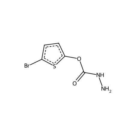 NNC(=O)Oc1ccc(Br)s1